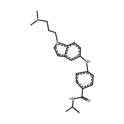 CC(C)NC(=O)c1ccc(Nc2ccc3c(ccn3CCCN(C)C)c2)cc1